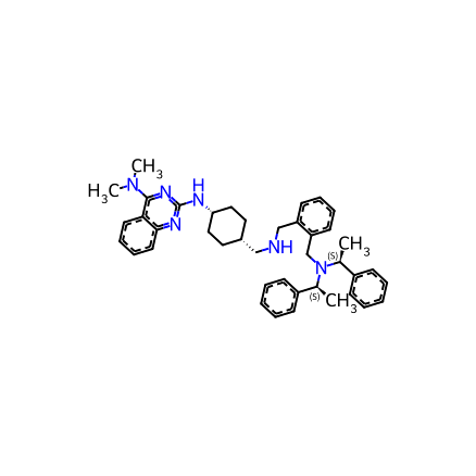 C[C@@H](c1ccccc1)N(Cc1ccccc1CNC[C@H]1CC[C@@H](Nc2nc(N(C)C)c3ccccc3n2)CC1)[C@@H](C)c1ccccc1